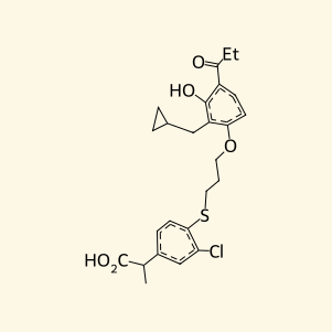 CCC(=O)c1ccc(OCCCSc2ccc(C(C)C(=O)O)cc2Cl)c(CC2CC2)c1O